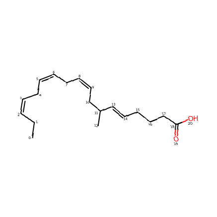 CC/C=C\C/C=C\C/C=C\CC(C)/C=C/CCCC(=O)O